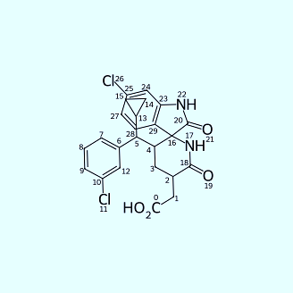 O=C(O)CC1CC(C(c2cccc(Cl)c2)C2CC2)C2(NC1=O)C(=O)Nc1cc(Cl)ccc12